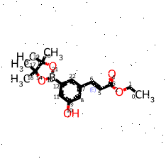 CCOC(=O)/C=C/c1cc(O)cc(B2OC(C)(C)C(C)(C)O2)c1